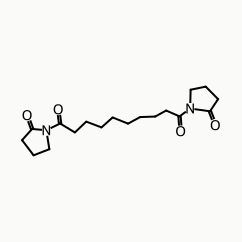 O=C(CCCCCCCCC(=O)N1CCCC1=O)N1CCCC1=O